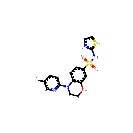 O=S(=O)(Nc1nccs1)c1ccc2c(c1)OCCN2c1ccc(C(F)(F)F)cn1